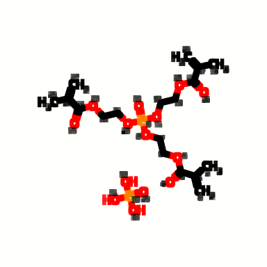 C=C(C)C(=O)OCCOP(=O)(OCCOC(=O)C(=C)C)OCCOC(=O)C(=C)C.O=P(O)(O)O